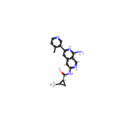 Cc1ccncc1-c1cc2cc(NC(=O)[C@H]3CC3C(F)(F)F)ncc2c(N)n1